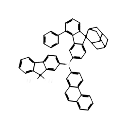 CC1(C)c2ccccc2-c2ccc(N(c3ccc4c(c3)-c3c(-c5ccccc5)cccc3C43C4CC5CC(C4)CC3C5)c3ccc4c(ccc5ccccc54)c3)cc21